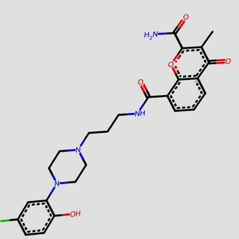 Cc1c(C(N)=O)oc2c(C(=O)NCCCN3CCN(c4cc(Cl)ccc4O)CC3)cccc2c1=O